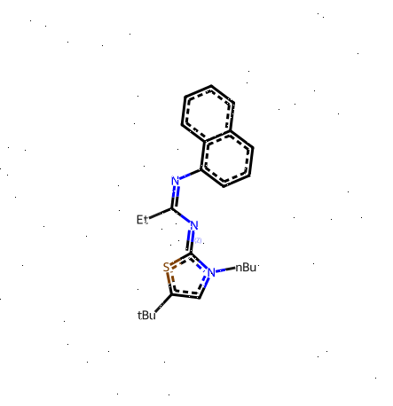 CCCCn1cc(C(C)(C)C)s/c1=N\C(CC)=Nc1cccc2ccccc12